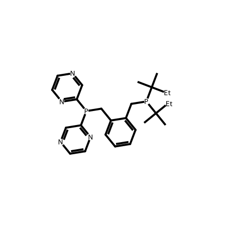 CCC(C)(C)P(Cc1ccccc1CP(c1cnccn1)c1cnccn1)C(C)(C)CC